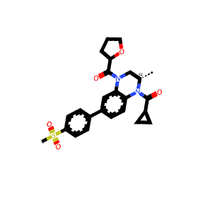 C[C@H]1CN(C(=O)C2CCCO2)c2cc(-c3ccc(S(C)(=O)=O)cc3)ccc2N1C(=O)C1CC1